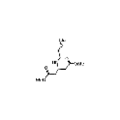 COC(=O)CC(CC(=O)OC)NCCOC(C)(C)C